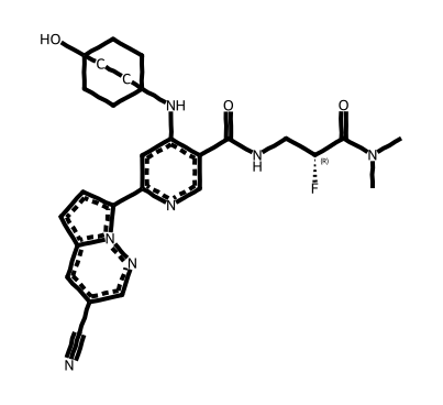 CN(C)C(=O)[C@H](F)CNC(=O)c1cnc(-c2ccc3cc(C#N)cnn23)cc1NC12CCC(O)(CC1)CC2